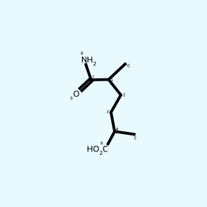 CC(CCC(C)C(=O)O)C(N)=O